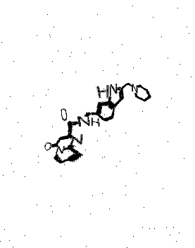 O=C(NCc1ccc2cc(CN3CCCCC3)[nH]c2c1)c1cc(=O)n2ccccc2n1